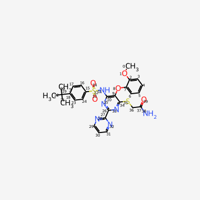 COc1ccccc1Oc1c(NS(=O)(=O)c2ccc(C(C)(C)C)cc2)nc(-c2ncccn2)nc1SCC(N)=O